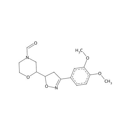 COc1ccc(C2=NOC(C3CN(C=O)CCO3)C2)cc1OC